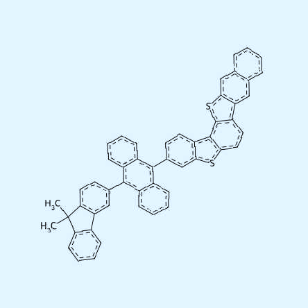 CC1(C)c2ccccc2-c2cc(-c3c4ccccc4c(-c4ccc5c(c4)sc4ccc6c7cc8ccccc8cc7sc6c45)c4ccccc34)ccc21